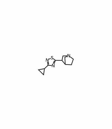 C1CC1c1nsc(C2CN3CCC2C3)n1